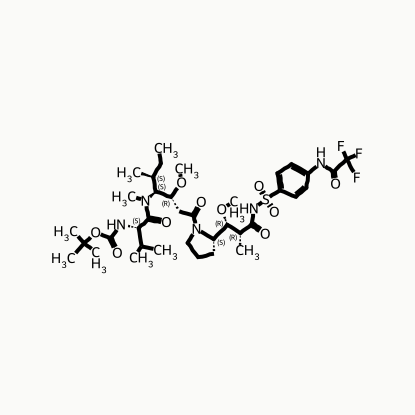 CC[C@H](C)[C@@H]([C@@H](CC(=O)N1CCC[C@H]1[C@H](OC)[C@@H](C)C(=O)NS(=O)(=O)c1ccc(NC(=O)C(F)(F)F)cc1)OC)N(C)C(=O)[C@@H](NC(=O)OC(C)(C)C)C(C)C